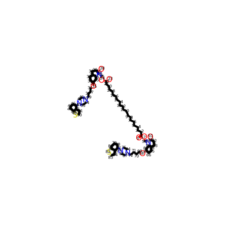 O=C(CCCCCCCCCCCCCCCCCCCCC(=O)OCn1c(=O)ccc2ccc(OCCCCN3CCN(c4cccc5sccc45)CC3)cc21)OCn1c(=O)ccc2ccc(OCCCCN3CCN(c4cccc5sccc45)CC3)cc21